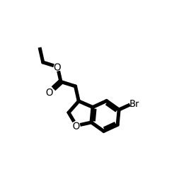 CCOC(=O)CC1COc2ccc(Br)cc21